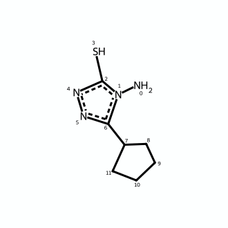 Nn1c(S)nnc1C1CCCC1